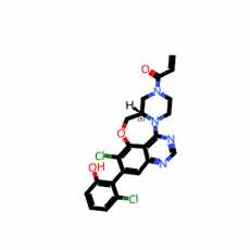 C=CC(=O)N1CCN2c3ncnc4cc(-c5c(O)cccc5Cl)c(Cl)c(c34)OC[C@@H]2C1